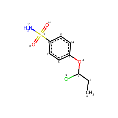 CCC(Cl)Oc1ccc(S(N)(=O)=O)cc1